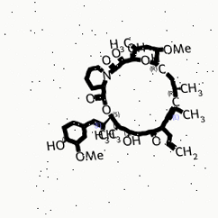 C=CCC1/C=C(\C)C[C@H](C)CC[C@H]2OC(O)(C(=O)C(=O)N3CCCCC3C(=O)O[C@H](/C(C)=C/C3CC[C@@H](O)C(OC)C3)[C@H](C)[C@@H](O)CC1=O)C(C)CC2OC